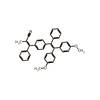 COc1ccc(C(=C(c2ccccc2)c2ccc(/C(=C(/C)C#N)c3ccccc3)cc2)c2ccc(OC)cc2)cc1